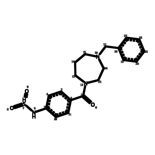 O=C(c1ccc(N[SH](=O)=O)cc1)N1CCCN(Cc2ccccc2)CC1